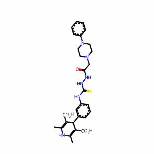 CC1=C(C(=O)O)C(c2cccc(NC(=S)NNC(=O)CN3CCN(c4ccccc4)CC3)c2)C(C(=O)O)=C(C)N1